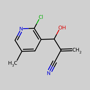 C=C(C#N)C(O)c1cc(C)cnc1Cl